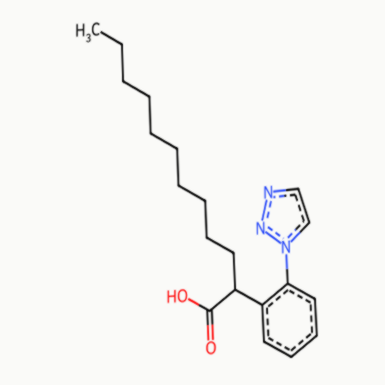 CCCCCCCCCCC(C(=O)O)c1ccccc1-n1ccnn1